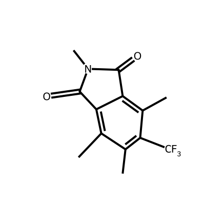 Cc1c(C)c(C(F)(F)F)c(C)c2c1C(=O)N(C)C2=O